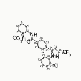 O=C(Nc1ccccc1C(=O)O)c1ccc(-c2cc(C(F)(F)F)nn2-c2ccccc2Cl)cc1